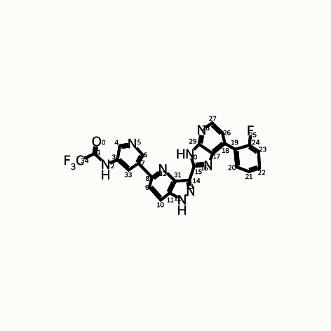 O=C(Nc1cncc(-c2ccc3[nH]nc(-c4nc5c(-c6ccccc6F)ccnc5[nH]4)c3n2)c1)C(F)(F)F